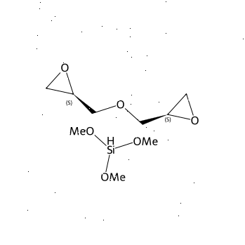 C(OC[C@H]1CO1)[C@H]1CO1.CO[SiH](OC)OC